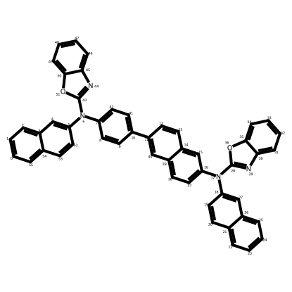 c1ccc2cc(N(c3ccc(-c4ccc5cc(N(c6ccc7ccccc7c6)c6nc7ccccc7o6)ccc5c4)cc3)c3nc4ccccc4o3)ccc2c1